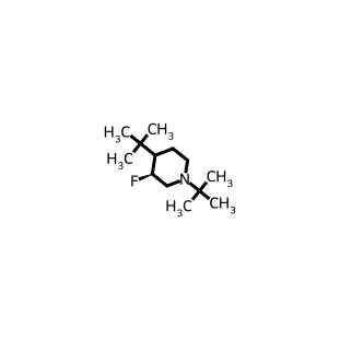 CC(C)(C)C1CCN(C(C)(C)C)C[C@H]1F